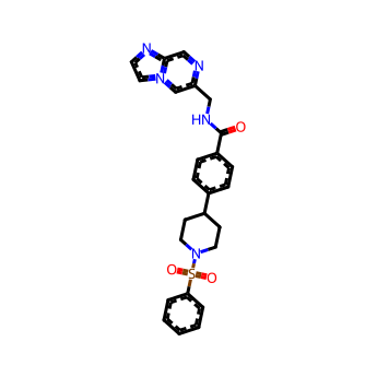 O=C(NCc1cn2ccnc2cn1)c1ccc(C2CCN(S(=O)(=O)c3ccccc3)CC2)cc1